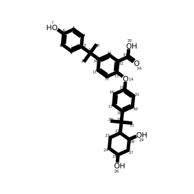 CC(C)(c1ccc(O)cc1)c1ccc(Oc2ccc(C(C)(C)C3CCC(O)CC3O)cc2)c(C(=O)O)c1